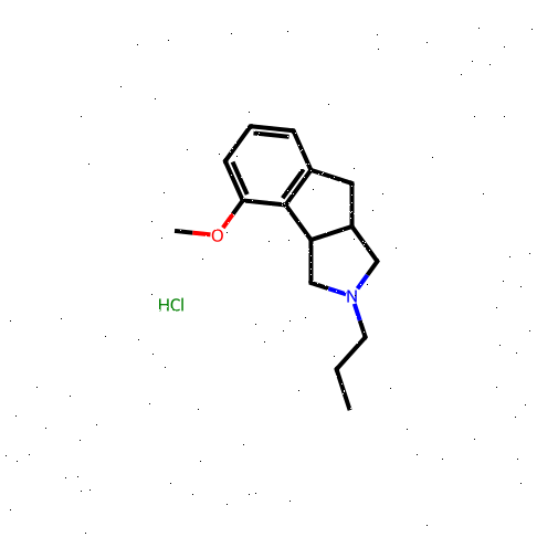 CCCN1CC2Cc3cccc(OC)c3C2C1.Cl